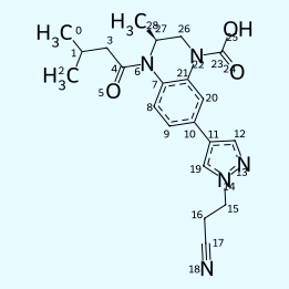 CC(C)CC(=O)N1c2ccc(-c3cnn(CCC#N)c3)cc2N(C(=O)O)C[C@@H]1C